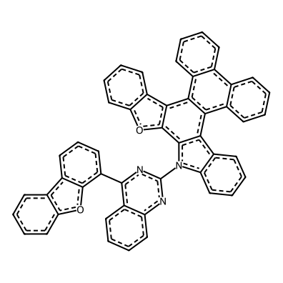 c1ccc2c(-c3cccc4c3oc3ccccc34)nc(-n3c4ccccc4c4c5c6ccccc6c6ccccc6c5c5c6ccccc6oc5c43)nc2c1